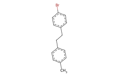 Cc1ccc(CCc2ccc(Br)cc2)cc1